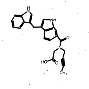 CC#CCN(CC(=O)O)C(=O)c1ccc2c(Cc3c[nH]c4ccccc34)c[nH]c2c1